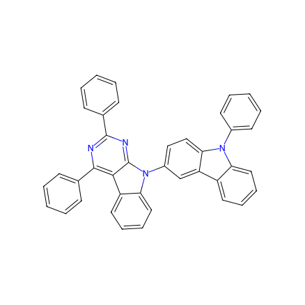 c1ccc(-c2nc(-c3ccccc3)c3c4ccccc4n(-c4ccc5c(c4)c4ccccc4n5-c4ccccc4)c3n2)cc1